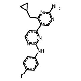 Nc1ncc(-c2ccnc(Nc3ccc(F)cc3)n2)c(CC2CC2)n1